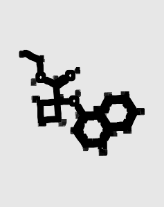 CCOC(=O)C1(Oc2ccnc3ccccc23)CCC1